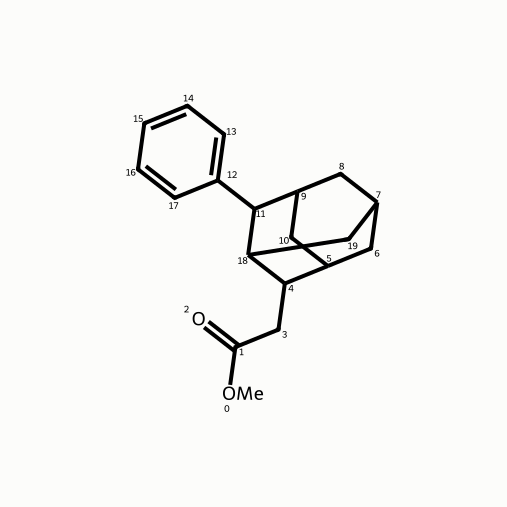 COC(=O)CC1C2CC3CC(C2)C(c2ccccc2)C1C3